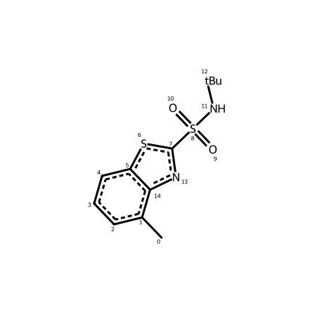 Cc1cccc2sc(S(=O)(=O)NC(C)(C)C)nc12